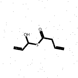 C=CCC(=O)S[C](O)C=C